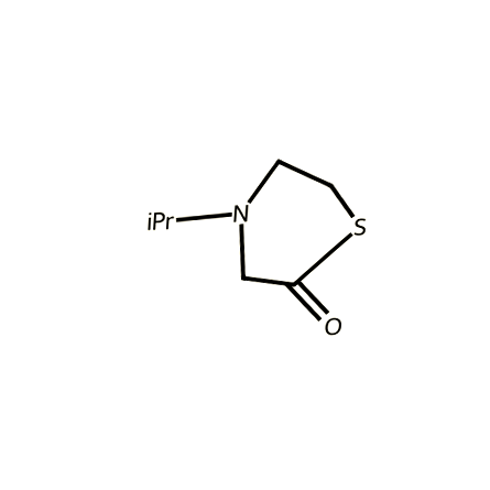 CC(C)N1CCSC(=O)C1